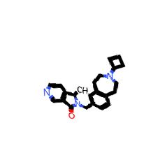 CC1c2ccncc2C(=O)N1Cc1ccc2c(c1)CCN(C1CCC1)CC2